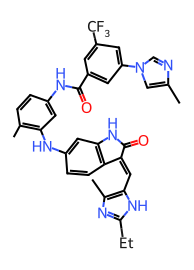 CCc1nc(C)c(C=C2C(=O)Nc3cc(Nc4cc(NC(=O)c5cc(-n6cnc(C)c6)cc(C(F)(F)F)c5)ccc4C)ccc32)[nH]1